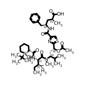 CC[C@H](C)[C@H](NC(=O)[C@H]1CCCC[N+]1(C)C(C)(C)C)C(=O)N(C)[C@H](C[C@@H](OC(C)=O)c1nc(C(=O)N[C@@H](Cc2ccccc2)C[C@H](C)C(=O)O)cs1)C(C)C